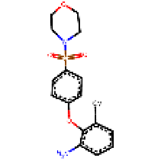 N#Cc1cccc(N)c1Oc1ccc(S(=O)(=O)N2CCOCC2)cc1